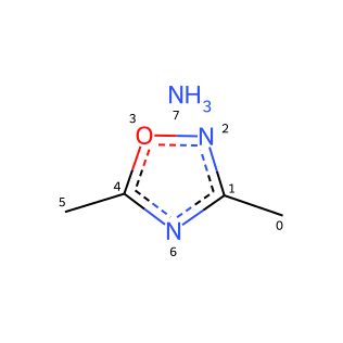 Cc1noc(C)n1.N